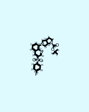 CC(C)(C)OC(=O)N1CCC2CN(c3cccc4cc(S(=O)(=O)c5ccc(F)cc5)cnc34)CC21